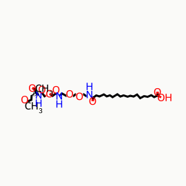 CC(=O)CC[C@H](NC(=O)COCC(=O)NCCOCCOCCNC(=O)CCCCCCCCCCCCCCCCCCC(=O)O)C(C)=O